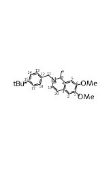 COc1cc2c(cc1OC)C(C)N(Cc1ccc(C(C)(C)C)cc1)C=C2